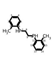 Cc1ccccc1PCCPc1ccccc1C